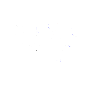 CNCCNc1cc(S(=O)(=O)NC(=O)Nc2c3c(cc4c2CCC4)CCC3)cnn1